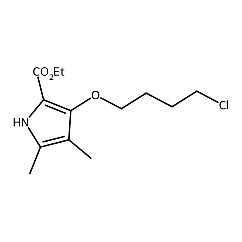 CCOC(=O)c1[nH]c(C)c(C)c1OCCCCCl